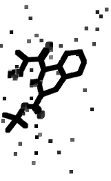 CC(N)C(=O)C1NC(C(=O)OC(C)(C)C)CC2CCCCC21